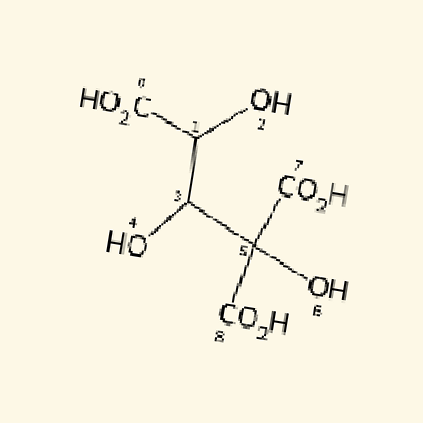 O=C(O)C(O)C(O)C(O)(C(=O)O)C(=O)O